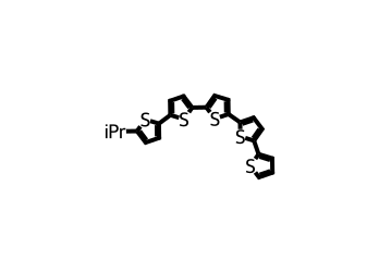 CC(C)c1ccc(-c2ccc(-c3ccc(-c4ccc(-c5cccs5)s4)s3)s2)s1